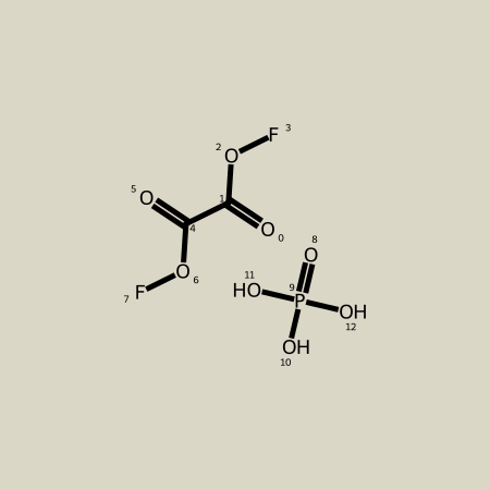 O=C(OF)C(=O)OF.O=P(O)(O)O